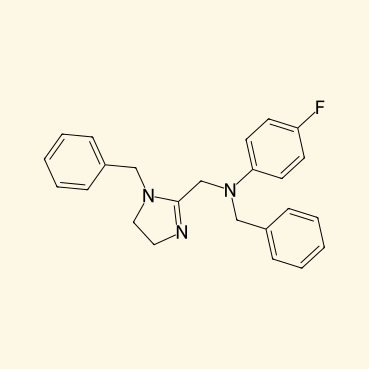 Fc1ccc(N(CC2=NCCN2Cc2ccccc2)Cc2ccccc2)cc1